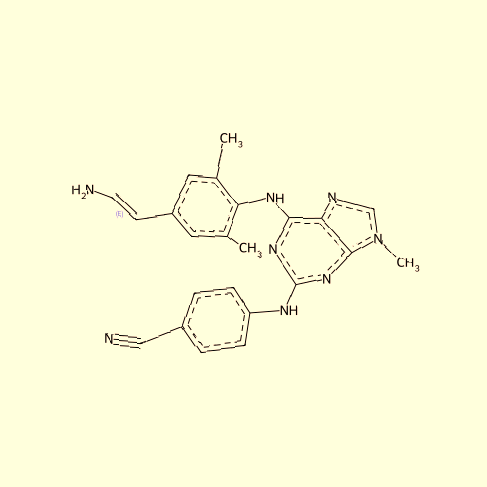 Cc1cc(/C=C/N)cc(C)c1Nc1nc(Nc2ccc(C#N)cc2)nc2c1ncn2C